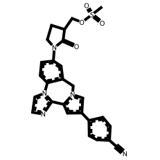 CS(=O)(=O)OCC1CCN(c2ccc3c(c2)Cn2cc(-c4ccc(C#N)cc4)cc2-c2nccn2-3)C1=O